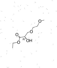 CCOC(=O)[C@H](O)COCCOC